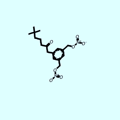 CC(C)(C)CCCC(=O)Cc1cc(CO[N+](=O)[O-])cc(CO[N+](=O)[O-])c1